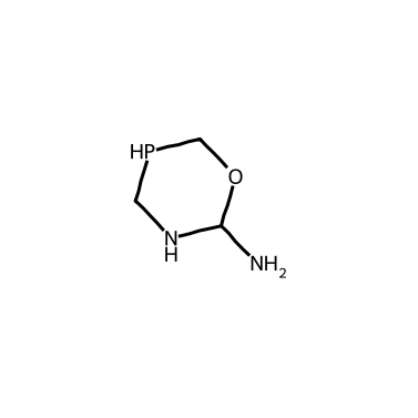 NC1NCPCO1